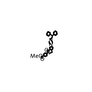 COC(=O)c1ccc(N2CCc3ccc(N4CCN(CCC(c5ccccc5)c5ccccc5)CC4)cc3C2=O)cc1